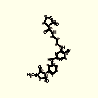 CN1CC(=O)N(c2cccc(Nc3ncc(Br)c(NCCCNC(=O)N4CCSC4=O)n3)c2)C1=O